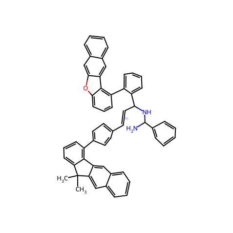 CC1(C)c2cc3ccccc3cc2-c2c(-c3ccc(/C=C/C(NC(N)c4ccccc4)c4ccccc4-c4cccc5oc6cc7ccccc7cc6c45)cc3)cccc21